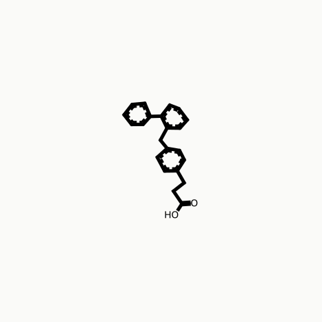 O=C(O)CCc1ccc(Cc2ccccc2-c2ccccc2)cc1